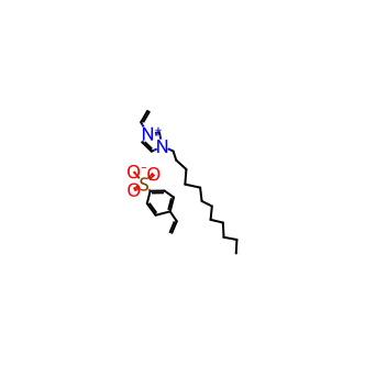 C=C[n+]1ccn(CCCCCCCCCCCC)c1.C=Cc1ccc(S(=O)(=O)[O-])cc1